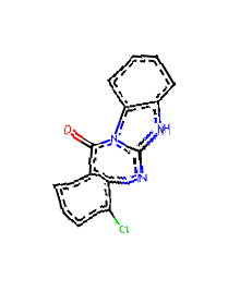 O=c1c2cccc(Cl)c2nc2[nH]c3ccccc3n12